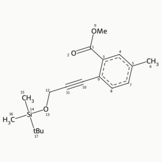 COC(=O)c1cc(C)ccc1C#CCO[Si](C)(C)C(C)(C)C